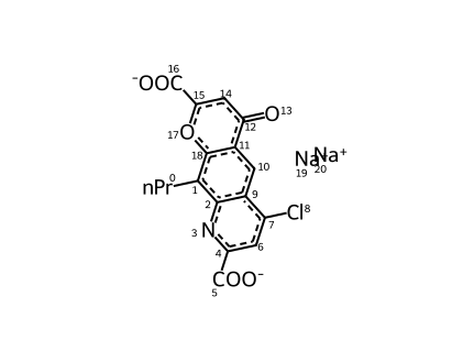 CCCc1c2nc(C(=O)[O-])cc(Cl)c2cc2c(=O)cc(C(=O)[O-])oc12.[Na+].[Na+]